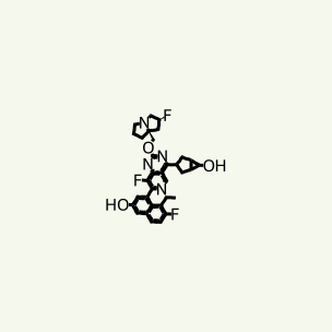 CCc1c(F)ccc2cc(O)cc(-c3ncc4c(C5CC6C(O)C6C5)nc(OC[C@@]56CCCN5C[C@H](F)C6)nc4c3F)c12